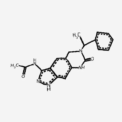 CC(=O)Nc1n[nH]c2cc3c(cc12)CN(C(C)c1ccccc1)C(=O)N3